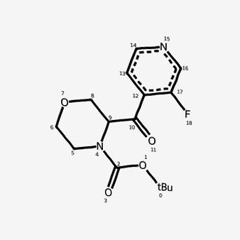 CC(C)(C)OC(=O)N1CCOCC1C(=O)c1ccncc1F